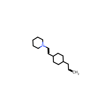 C=CCC1CCC(/C=C/N2CCCCC2)CC1